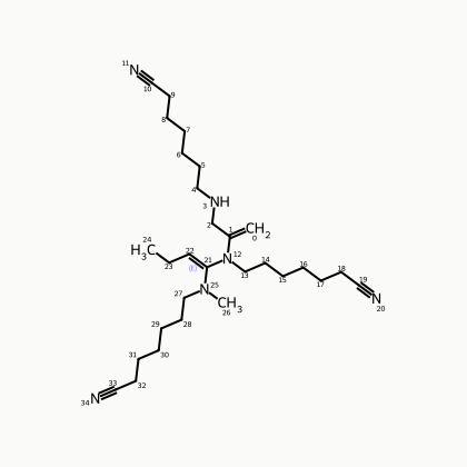 C=C(CNCCCCCCC#N)N(CCCCCCC#N)/C(=C/CC)N(C)CCCCCCC#N